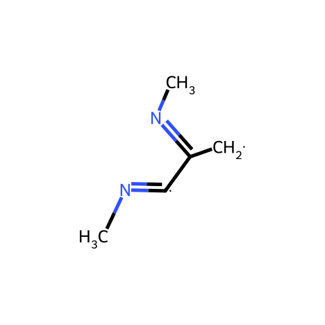 [CH2]C(/[C]=N/C)=NC